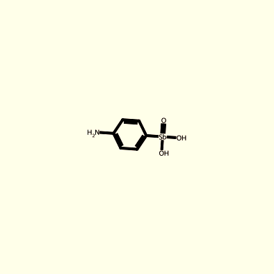 Nc1cc[c]([Sb](=[O])([OH])[OH])cc1